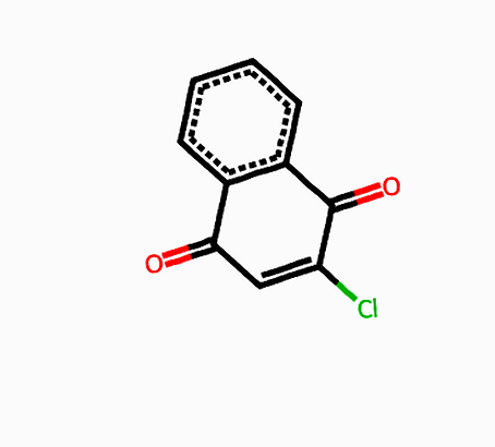 O=C1C=C(Cl)C(=O)c2ccccc21